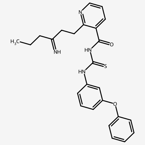 CCCC(=N)CCc1ncccc1C(=O)NC(=S)Nc1cccc(Oc2ccccc2)c1